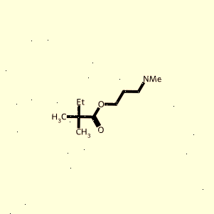 CCC(C)(C)C(=O)OCCCNC